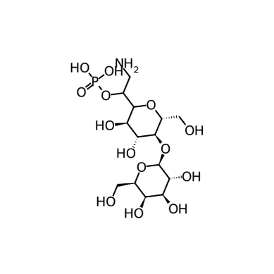 NCC(OP(=O)(O)O)C1O[C@H](CO)[C@@H](O[C@@H]2O[C@H](CO)[C@H](O)[C@H](O)[C@H]2O)[C@H](O)[C@H]1O